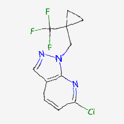 FC(F)(F)C1(Cn2ncc3ccc(Cl)nc32)CC1